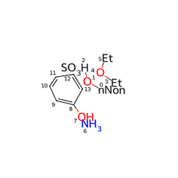 CCCCCCCCCOS(=O)(=O)O.CCOCC.N.Oc1ccccc1